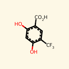 O=C(O)c1cc(C(F)(F)F)c(O)cc1O